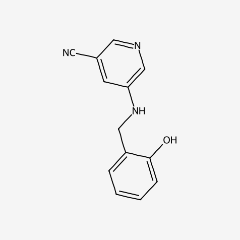 N#Cc1cncc(NCc2ccccc2O)c1